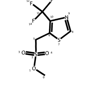 COS(=O)(=O)Cc1scnc1C(F)(F)F